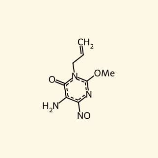 C=CCn1c(OC)nc(N=O)c(N)c1=O